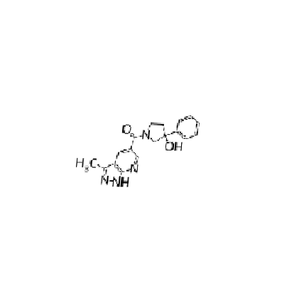 Cc1n[nH]c2ncc(C(=O)N3CC[C@](O)(c4ccccc4)C3)cc12